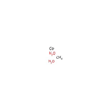 C.O.O.[Co]